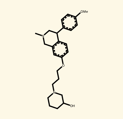 COc1ccc(C2CN(C)Cc3cc(OCCCN4CCCC(O)C4)ccc32)cc1